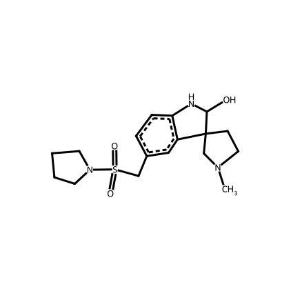 CN1CCC2(C1)c1cc(CS(=O)(=O)N3CCCC3)ccc1NC2O